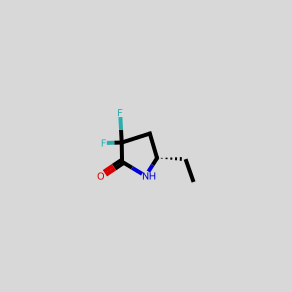 CC[C@H]1CC(F)(F)C(=O)N1